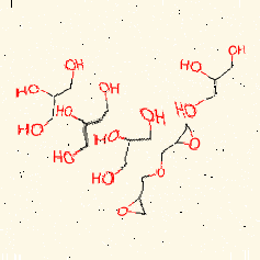 C(OCC1CO1)C1CO1.OCC(O)CO.OCC(O)CO.OCC(O)CO.OCC(O)CO